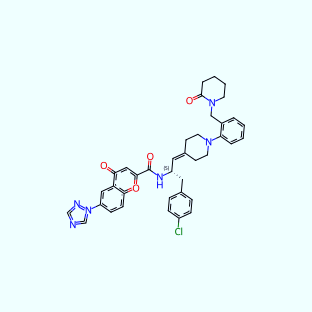 O=C(N[C@H](C=C1CCN(c2ccccc2CN2CCCCC2=O)CC1)Cc1ccc(Cl)cc1)c1cc(=O)c2cc(-n3cncn3)ccc2o1